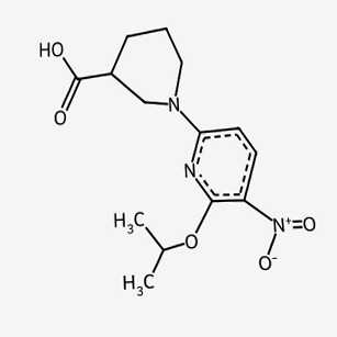 CC(C)Oc1nc(N2CCCC(C(=O)O)C2)ccc1[N+](=O)[O-]